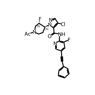 CC(=O)N1CC[C@H](n2ncc(Cl)c2C(=O)Nc2ncc(C#Cc3ccccc3)cc2F)[C@@H](F)C1